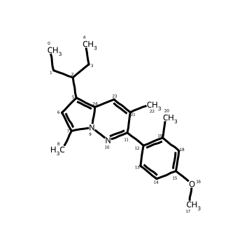 CCC(CC)c1cc(C)n2nc(-c3ccc(OC)cc3C)c(C)cc12